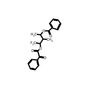 CC(OC(=O)c1ccccc1)C(C)C(OC(=O)C(=O)c1ccccc1)C(F)(F)F